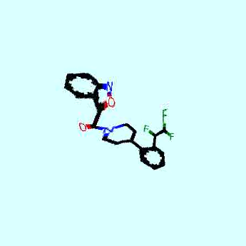 O=C(c1onc2ccccc12)N1CCC(c2ccccc2C(F)C(F)F)CC1